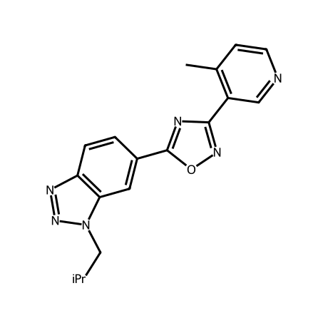 Cc1ccncc1-c1noc(-c2ccc3nnn(CC(C)C)c3c2)n1